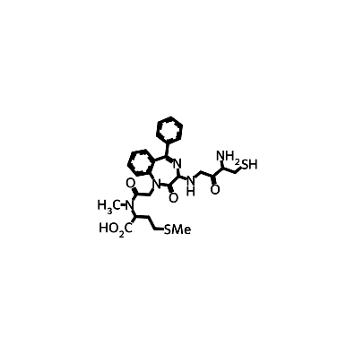 CSCCC(C(=O)O)N(C)C(=O)CN1C(=O)C(NCC(=O)C(N)CS)N=C(c2ccccc2)c2ccccc21